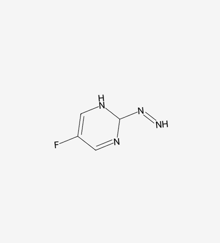 N=NC1N=CC(F)=CN1